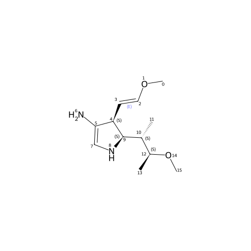 CO/C=C/[C@@H]1C(N)=CN[C@@H]1[C@H](C)[C@H](C)OC